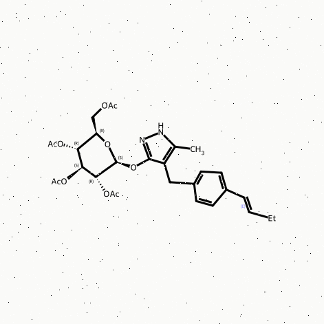 CC/C=C/c1ccc(Cc2c(O[C@@H]3O[C@H](COC(C)=O)[C@@H](OC(C)=O)[C@H](OC(C)=O)[C@H]3OC(C)=O)n[nH]c2C)cc1